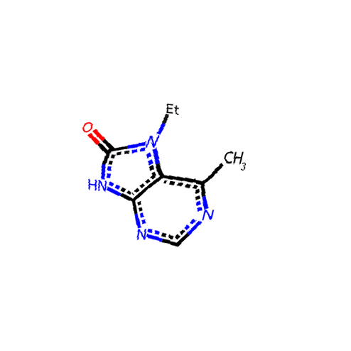 CCn1c(=O)[nH]c2ncnc(C)c21